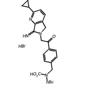 Br.CCCCN(Cc1ccc(C(=O)CN2Cc3ccc(C4CC4)nc3C2=N)cc1)C(=O)O